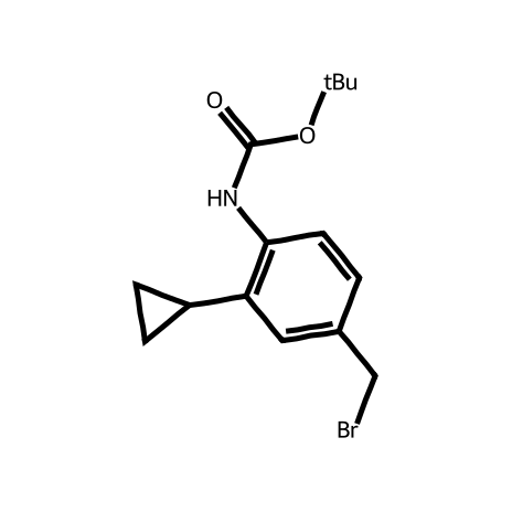 CC(C)(C)OC(=O)Nc1ccc(CBr)cc1C1CC1